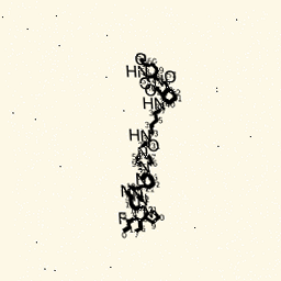 C=C/C(F)=C\C(=C/C)C1CCCN1c1ccc2ncc(-c3cccc(N4CCN(CC(=O)NCCCCCNc5cccc6c5C(=O)N(C5CCC(=O)NC5=O)C6=O)CC4)n3)n2n1